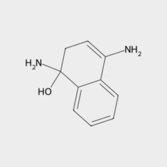 NC1=CCC(N)(O)c2ccccc21